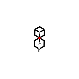 CC(=O)C1CC2CC(C1)N2C1CCNCC1